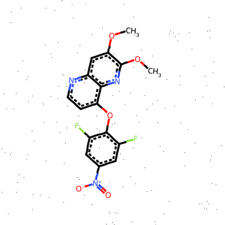 COc1cc2nccc(Oc3c(F)cc([N+](=O)[O-])cc3F)c2nc1OC